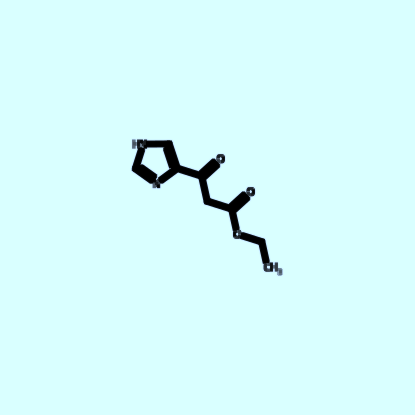 CCOC(=O)CC(=O)c1c[nH]cn1